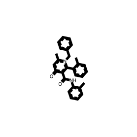 Cc1ccccc1NC(=O)c1c(-c2ccccc2C)n(Cc2ccccc2)c(C)cc1=O